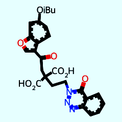 CC(C)COc1ccc2c(C(=O)CC(CCn3nnc4ccccc4c3=O)(C(=O)O)C(=O)O)coc2c1